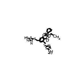 CCOP(=O)(C(=O)c1c(C)cc(CSC2NNC(S)S2)cc1CSc1nnc(S)s1)c1ccccc1